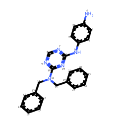 Nc1ccc(Nc2ncnc(N(Cc3ccccc3)Cc3ccccc3)n2)cc1